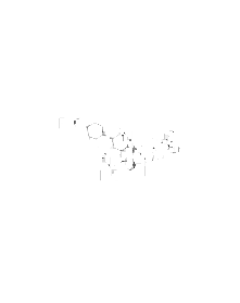 CC1N=Cc2c(-c3ccc(C(F)(F)F)cc3)cnc(NCC3(O)CS(=O)(=O)C3)c2C1=O